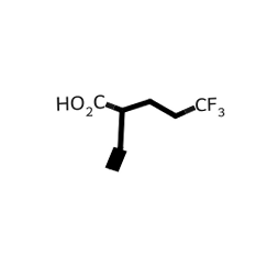 C#CC(CCC(F)(F)F)C(=O)O